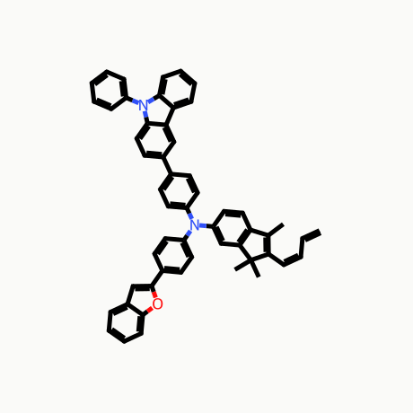 C=C/C=C\C1=C(C)c2ccc(N(c3ccc(-c4ccc5c(c4)c4ccccc4n5-c4ccccc4)cc3)c3ccc(-c4cc5ccccc5o4)cc3)cc2C1(C)C